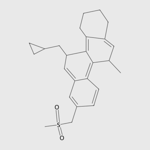 CC1C=C2CCCCC2=C2C1=c1ccc(CS(C)(=O)=O)cc1=CC2CC1CC1